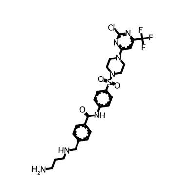 NCCCNCc1ccc(C(=O)Nc2ccc(S(=O)(=O)N3CCN(c4cc(C(F)(F)F)nc(Cl)n4)CC3)cc2)cc1